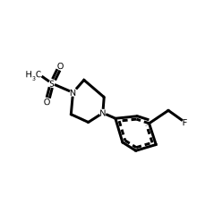 CS(=O)(=O)N1CCN(c2cccc(CF)c2)CC1